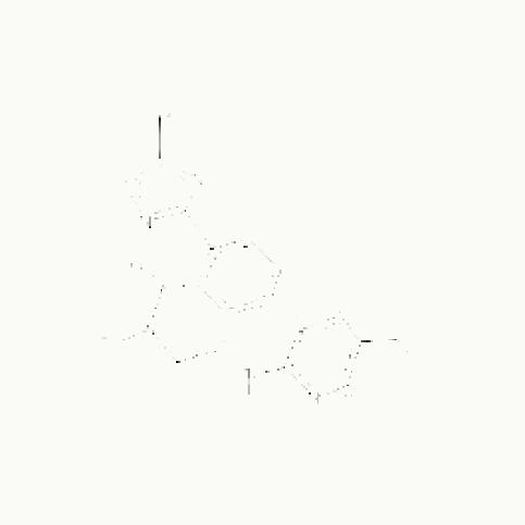 CCN(C(=O)c1ccccc1-c1noc(C)n1)[C@@H](C)CNc1ncc(C(F)(F)F)cn1